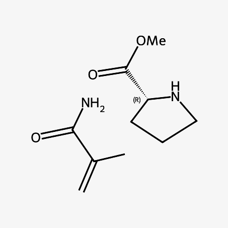 C=C(C)C(N)=O.COC(=O)[C@H]1CCCN1